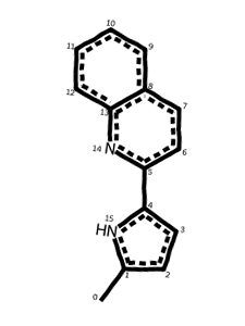 Cc1ccc(-c2ccc3ccccc3n2)[nH]1